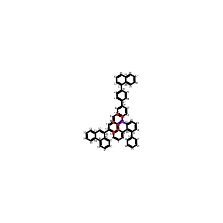 c1ccc(-c2ccccc2-c2c(-c3ccccc3)cccc2N(c2ccc(-c3ccc(-c4cccc5ccccc45)cc3)cc2)c2ccc(-c3cc4ccccc4c4ccccc34)cc2)cc1